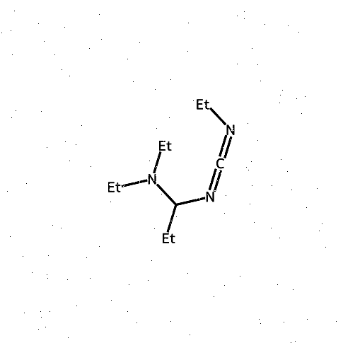 CCN=C=NC(CC)N(CC)CC